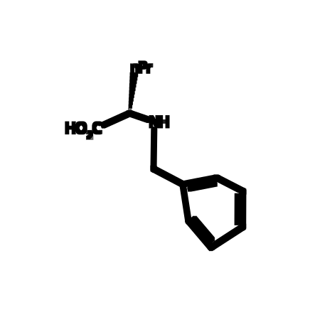 CCC[C@H](NCc1ccccc1)C(=O)O